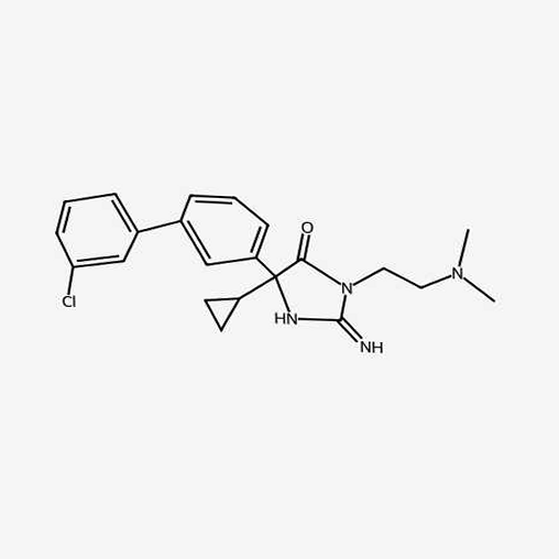 CN(C)CCN1C(=N)NC(c2cccc(-c3cccc(Cl)c3)c2)(C2CC2)C1=O